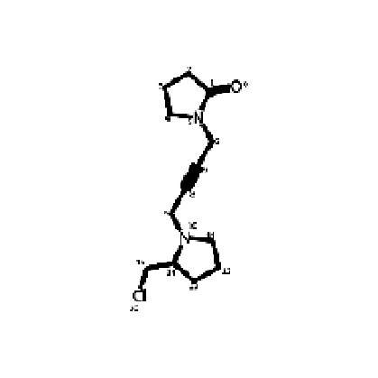 O=C1CCCN1CC#CCN1CCCC1CCl